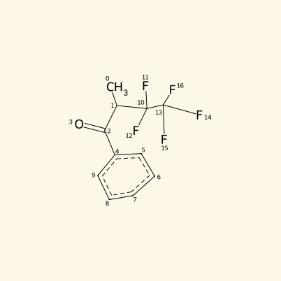 CC(C(=O)c1ccccc1)C(F)(F)C(F)(F)F